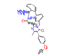 BC(=O)NC(=N)c1ccccc1-c1ccc(Cn2c(CCCC)nc(C)c(-c3ccc(OC(C)C)cc3)c2=O)cc1